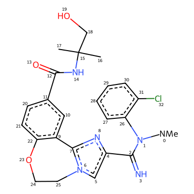 CNN(C(=N)c1cn2c(n1)-c1cc(C(=O)NC(C)(C)CO)ccc1OCC2)c1ccccc1Cl